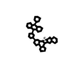 c1ccc(-c2c3ccccc3c(-c3cccc(-c4ccc5c6ccccc6c6c7cc8ccccc8cc7sc6c5c4)c3)c3ccccc23)cc1